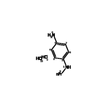 CCCNc1ccc(N)cc1.Cl.Cl